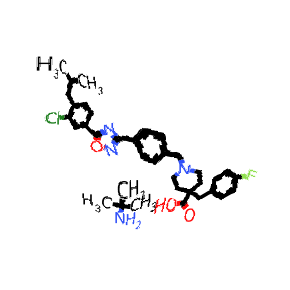 CC(C)(C)N.CC(C)Cc1ccc(-c2nc(-c3ccc(CN4CCC(Cc5ccc(F)cc5)(C(=O)O)CC4)cc3)no2)cc1Cl